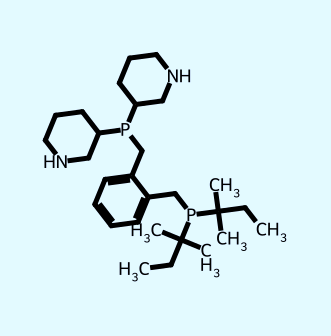 CCC(C)(C)P(Cc1ccccc1CP(C1CCCNC1)C1CCCNC1)C(C)(C)CC